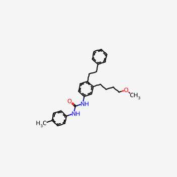 COCCCCc1cc(NC(=O)Nc2ccc(C)cc2)ccc1CCc1ccccc1